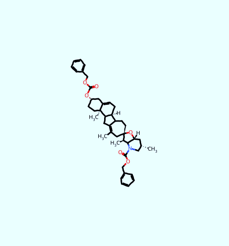 CC1=C2CC3[C@@H](CC=C4C[C@@H](OC(=O)OCc5ccccc5)CC[C@@]43C)C2CC[C@@]2(C1)O[C@@H]1C[C@H](C)CN(C(=O)OCc3ccccc3)C1[C@H]2C